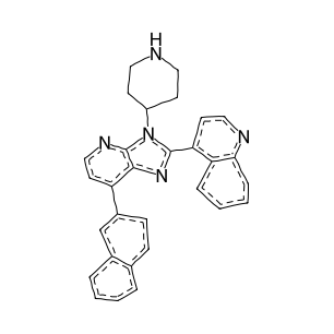 c1ccc2cc(-c3ccnc4c3nc(-c3ccnc5ccccc35)n4C3CCNCC3)ccc2c1